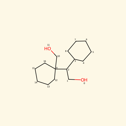 OCC(C1CCCCC1)C1(CO)CCCCC1